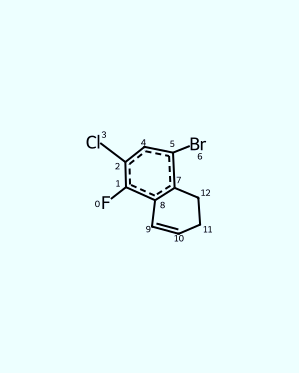 Fc1c(Cl)cc(Br)c2c1C=CCC2